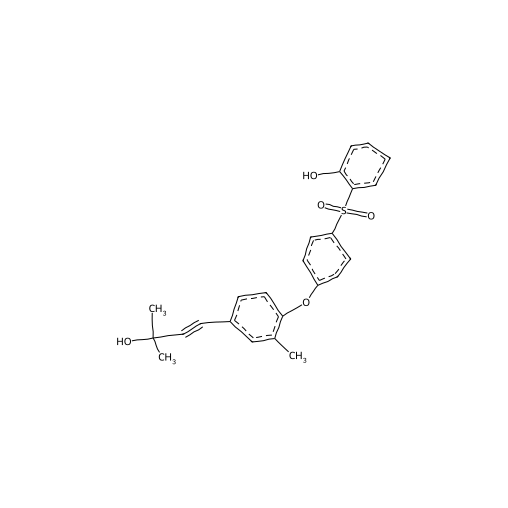 Cc1cc(C#CC(C)(C)O)ccc1Oc1ccc(S(=O)(=O)c2ccccc2O)cc1